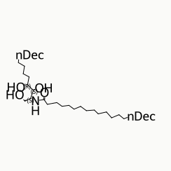 CCCCCCCCCCCCCCCCCCCCCCCC(=O)N[C@@H](CO)[C@H](O)[C@H](O)CCCCCCCCCCCCCC